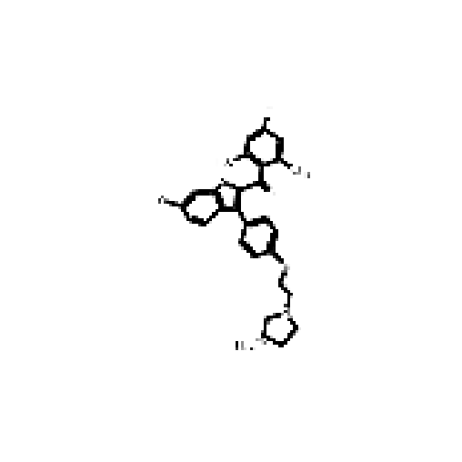 Cc1cc(F)cc(C)c1C(=O)c1sc2cc(O)ccc2c1-c1ccc(OCCN2CC[C@H](C)C2)cc1